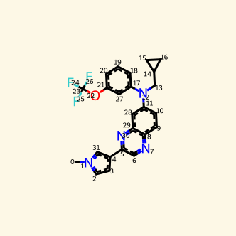 Cn1ccc(-c2cnc3ccc(N(CC4CC4)c4cccc(OC(F)(F)F)c4)cc3n2)c1